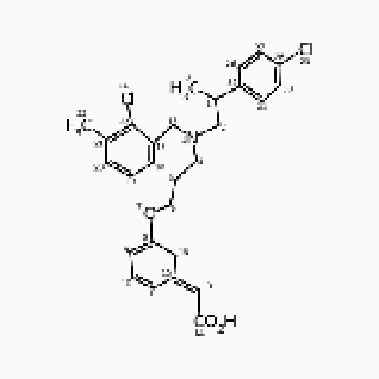 CC(CN(CCCOC1=CC=CC(=CC(=O)O)C1)Cc1cccc(C(F)(F)F)c1Cl)c1ccc(Cl)cc1